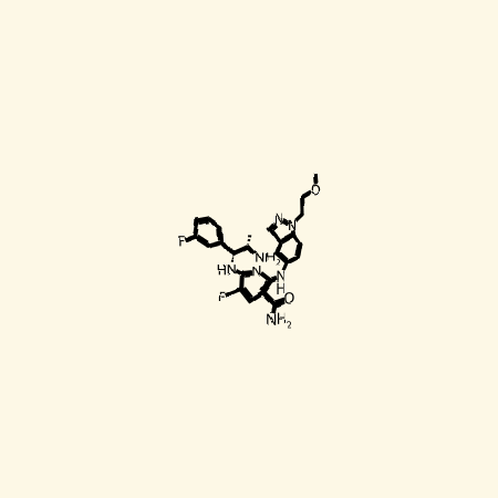 COCCn1ncc2cc(Nc3nc(N[C@H](c4cccc(F)c4)[C@H](C)N)c(F)cc3C(N)=O)ccc21